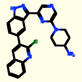 NC1CCN(c2cncc(-c3n[nH]c4ccc(-c5cc6ccccc6nc5Cl)cc34)n2)CC1